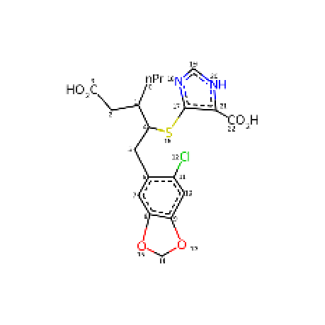 CCCC(CC(=O)O)C(Cc1cc2c(cc1Cl)OCO2)Sc1nc[nH]c1C(=O)O